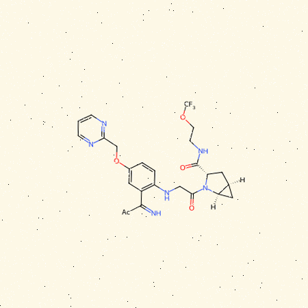 CC(=O)C(=N)c1cc(OCc2ncccn2)ccc1NCC(=O)N1[C@@H]2C[C@@H]2C[C@H]1C(=O)NCCOC(F)(F)F